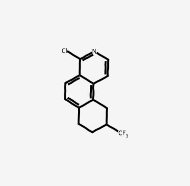 FC(F)(F)C1CCc2ccc3c(Cl)nccc3c2C1